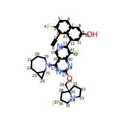 C#Cc1c(F)ccc2cc(O)cc(-c3ncc4c(N5CCCCC6CC65)nc(OC[C@@]56CCCN5C[C@H](F)C6)nc4c3F)c12